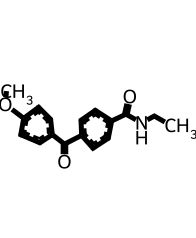 CCNC(=O)c1ccc(C(=O)c2ccc(OC)cc2)cc1